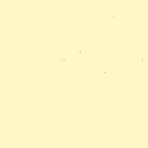 COc1ccc(Cn2c(C#N)c(-c3cn(CCCOS(C)(=O)=O)c4ccccc34)n(-c3c[nH]c4ccccc34)c2=O)c(OC)c1